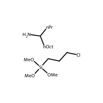 CCCCCCCCC(N)CCC.CO[Si](CCCCl)(OC)OC